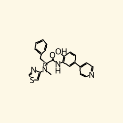 CN(c1cscn1)[C@@H](Cc1ccccc1)C(=O)Nc1cc(-c2ccncc2)ccc1O